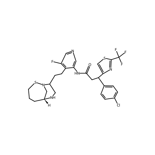 O=C(CC(c1ccc(Cl)cc1)c1csc(C(F)(F)F)n1)Nc1cncc(F)c1CCC1CN[C@@H]2CCCSN1C2